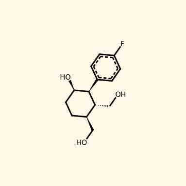 OC[C@H]1CC[C@@H](O)[C@@H](c2ccc(F)cc2)[C@@H]1CO